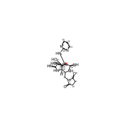 N=C1N[C@H]2C(CN3C(=O)CCC3=O)NC(=N)N3CC(Nc4ncccn4)C(O)(O)[C@]23N1